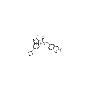 Cc1nc2cc(C3CCC3)ccn2c1C(=O)NCc1ccc2c(c1)CC(F)O2